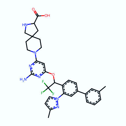 Cc1cccc(-c2ccc(C(Oc3cc(N4CCC5(CC4)CNC(C(=O)O)C5)nc(N)n3)C(F)(F)F)c(-n3ccc(C)n3)c2)c1